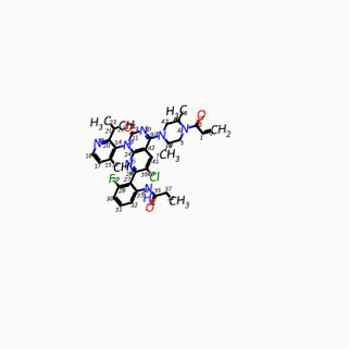 C=CC(=O)N1C[C@H](C)N(c2nc(=O)n(-c3c(C)ccnc3C(C)C)c3nc(-c4c(F)cccc4NC(=O)CC)c(Cl)cc23)C[C@H]1C